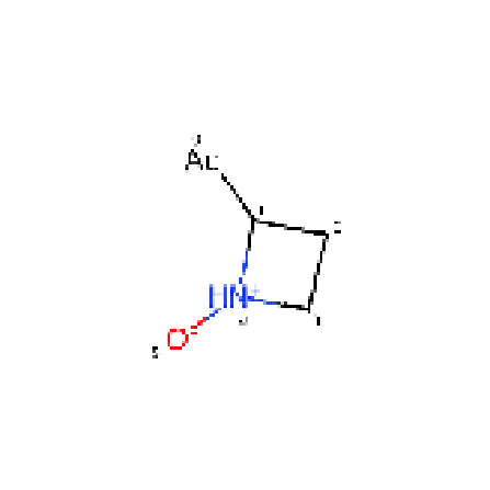 CC(=O)C1CC[NH+]1[O-]